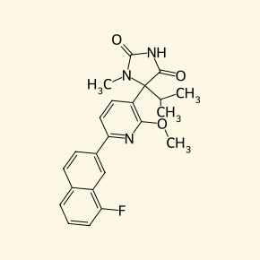 COc1nc(-c2ccc3cccc(F)c3c2)ccc1C1(C(C)C)C(=O)NC(=O)N1C